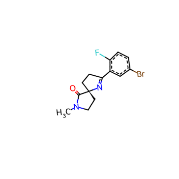 CN1CC[C@]2(CCC(c3cc(Br)ccc3F)=N2)C1=O